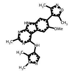 COc1cc2c(cc1-c1c(C)noc1C)[nH]c1nc(C)nc(Nc3cnn(C)c3C)c12